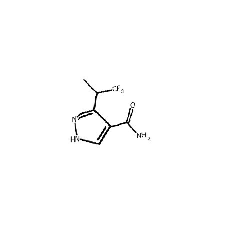 CC(c1n[nH]cc1C(N)=O)C(F)(F)F